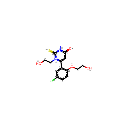 O=c1cc(-c2cc(Cl)ccc2OCCO)n(CCO)c(=S)[nH]1